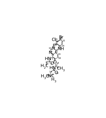 C=CC(=O)Nc1c(OCC(C)NC(=O)CN(C)C)ccc2c(Nc3ccc(Br)c(Cl)c3F)ncnc12